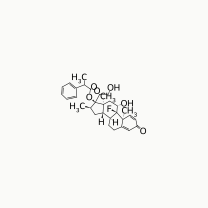 CC(C(=O)O[C@]1(C(=O)CO)[C@H](C)C[C@H]2[C@@H]3CCC4=CC(=O)C=C[C@]4(C)[C@@]3(F)[C@@H](O)C[C@@]21C)c1ccccc1